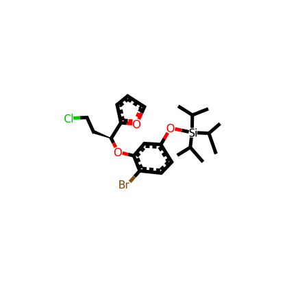 CC(C)[Si](Oc1ccc(Br)c(O[C@@H](CCCl)c2ccco2)c1)(C(C)C)C(C)C